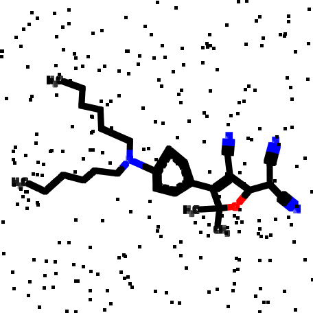 CCCCCCN(CCCCCC)c1ccc(C2=C(C#N)C(C(C#N)C#N)OC2(C)C)cc1